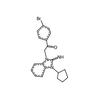 N=c1n(CC(=O)c2ccc(Br)cc2)c2ccccc2n1C1CCCC1